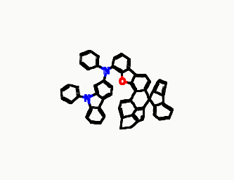 c1ccc(N(c2ccc3c4ccccc4n(-c4ccccc4)c3c2)c2cccc3c2oc2c4c(ccc23)C2(c3ccccc3-c3ccccc32)c2ccc3c5c(ccc-4c25)CC3)cc1